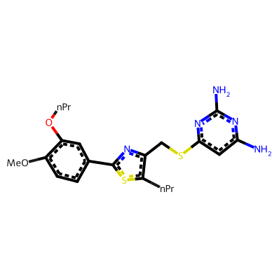 CCCOc1cc(-c2nc(CSc3cc(N)nc(N)n3)c(CCC)s2)ccc1OC